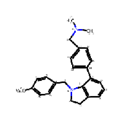 COc1ccc(CN2CCc3cccc(-c4ccc(CN(C)C)cc4)c32)cc1